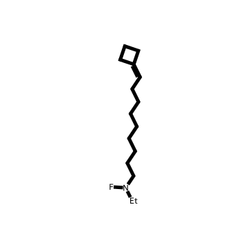 CCN(F)CCCCCCCCC=C1CCC1